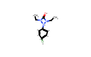 CCn1c(=O)n(CC)n1-c1ccc(Cl)cc1